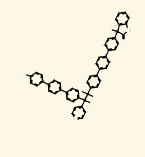 CC(C)(C)c1ccc(-c2ccc(-c3ccc(C(C)(c4ccncc4)C(C)(C)c4ccc(-c5ccc(-c6ccc(C7(C)C(=O)Nc8ccccc87)cc6)cc5)cc4)cc3)cc2)cc1